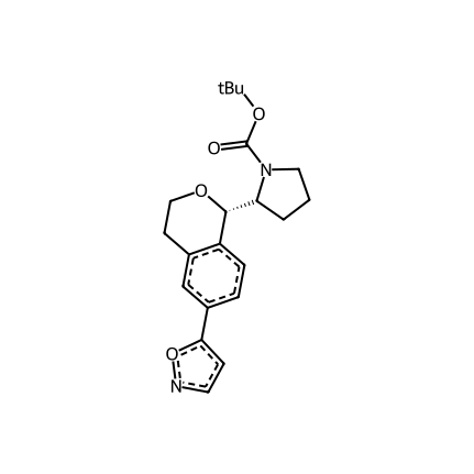 CC(C)(C)OC(=O)N1CCCC1[C@H]1OCCc2cc(-c3ccno3)ccc21